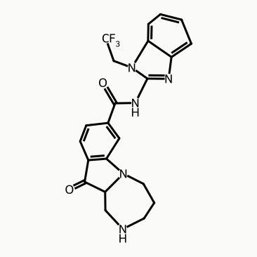 O=C(Nc1nc2ccccc2n1CC(F)(F)F)c1ccc2c(c1)N1CCCNCC1C2=O